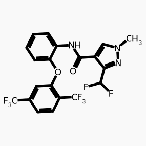 Cn1cc(C(=O)Nc2ccccc2Oc2cc(C(F)(F)F)ccc2C(F)(F)F)c(C(F)F)n1